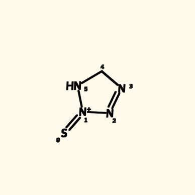 S=[N+]1N=NCN1